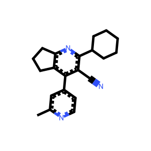 Cc1cc(-c2c(C#N)c(C3CCCCC3)nc3c2CCC3)ccn1